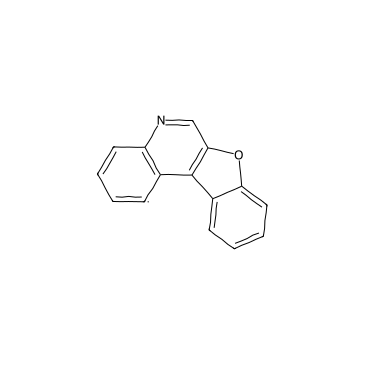 [c]1cccc2ncc3oc4ccccc4c3c12